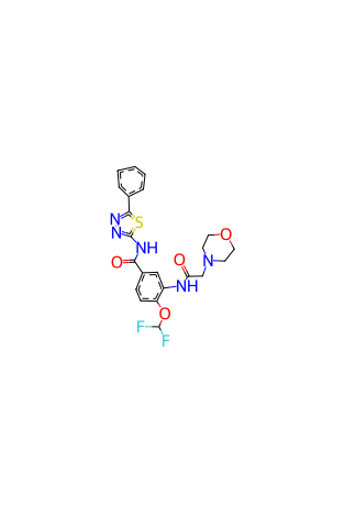 O=C(CN1CCOCC1)Nc1cc(C(=O)Nc2nnc(-c3ccccc3)s2)ccc1OC(F)F